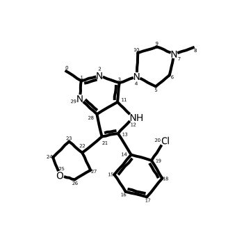 Cc1nc(N2CCN(C)CC2)c2[nH]c(-c3ccccc3Cl)c(C3CCOCC3)c2n1